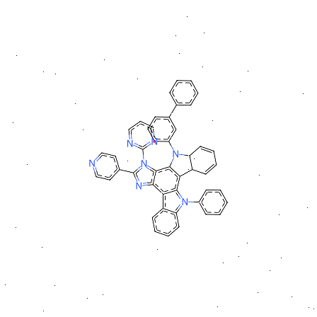 C1=CC2c3c(c4c(nc(-c5ccncc5)n4-c4ncccn4)c4c5ccccc5n(-c5ccccc5)c34)N(c3cccc(-c4ccccc4)c3)C2C=C1